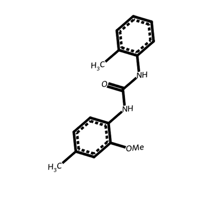 COc1cc(C)ccc1NC(=O)Nc1ccccc1C